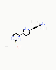 C[S+]([O-])c1nccc(-c2ccc(C#CC(C)(C)N)nc2)n1